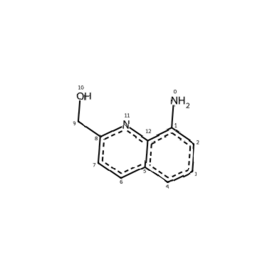 Nc1cccc2ccc(CO)nc12